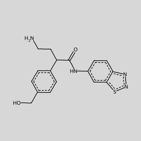 NCCC(C(=O)Nc1ccc2nnsc2c1)c1ccc(CO)cc1